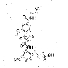 COCCNC(=O)c1ccc2c(c1)OCC[C@]21C(C)C1C(=O)Nc1cc(C#N)ccc1CCCC(=O)O